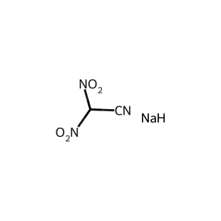 N#CC([N+](=O)[O-])[N+](=O)[O-].[NaH]